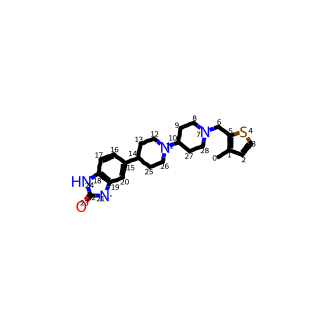 Cc1ccsc1CN1CCC(N2CCC(c3ccc4c(c3)[N]C(=O)N4)CC2)CC1